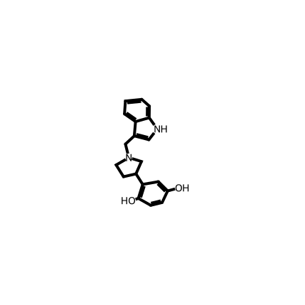 Oc1ccc(O)c(C2CCN(Cc3c[nH]c4ccccc34)C2)c1